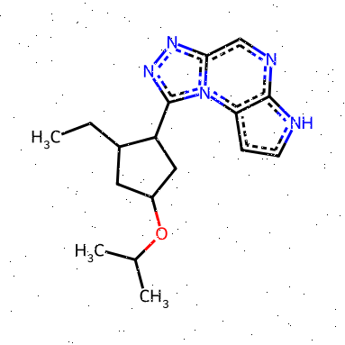 CCC1CC(OC(C)C)CC1c1nnc2cnc3[nH]ccc3n12